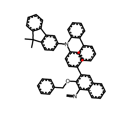 C=Nc1c(OCc2ccccc2)c(-c2ccc(N(c3ccc4c(c3)-c3ccccc3C4(C)C)c3ccccc3-c3ccccc3)cc2)cc2ccccc12